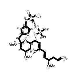 C=CC[C@H](/C=C/C(C)=C/[C@@H](O[Si](C(C)C)(C(C)C)C(C)C)[C@H]1C[C@@H](OC)C[C@](Cc2nc(OS(=O)(=O)C(F)(F)F)co2)(OC)O1)OC